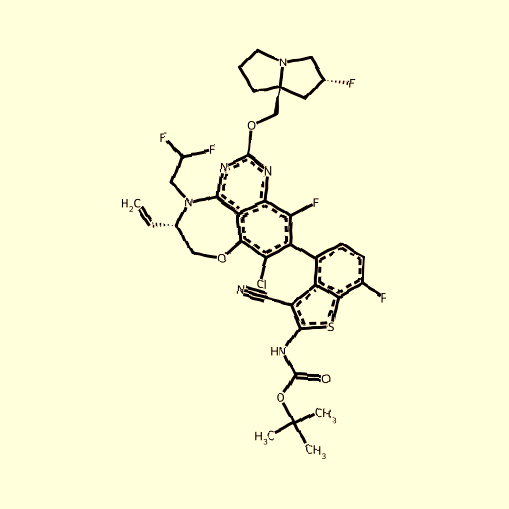 C=C[C@H]1COc2c(Cl)c(-c3ccc(F)c4sc(NC(=O)OC(C)(C)C)c(C#N)c34)c(F)c3nc(OC[C@@]45CCCN4C[C@H](F)C5)nc(c23)N1CC(F)F